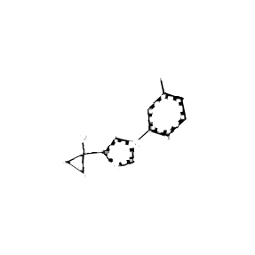 Cc1cccc(-n2cnc(C3(N)CC3)c2)c1